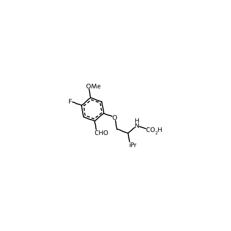 COc1cc(OCC(NC(=O)O)C(C)C)c(C=O)cc1F